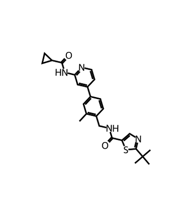 Cc1cc(-c2ccnc(NC(=O)C3CC3)c2)ccc1CNC(=O)c1cnc(C(C)(C)C)s1